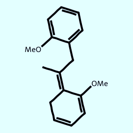 [CH2]OC1=CC=CCC1=C(C)Cc1ccccc1O[CH2]